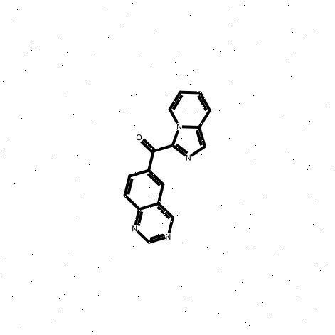 O=C(c1ccc2ncncc2c1)c1ncc2ccccn12